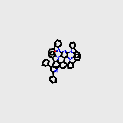 c1ccc(-c2cc(-c3ccccc3)nc(-c3cccc(-c4c(-n5c6ccccc6c6ccccc65)c(-n5c6ccccc6c6ccccc65)nc(-n5c6ccccc6c6ccccc65)c4-n4c5ccccc5c5ccccc54)c3)c2)cc1